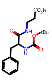 CC(C)(C)OC(=O)NC(Cc1ccccc1)C(=O)NCCC(=O)O